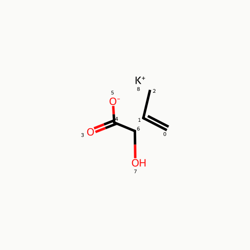 C=CC.O=C([O-])CO.[K+]